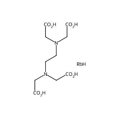 O=C(O)CN(CCN(CC(=O)O)CC(=O)O)CC(=O)O.[RbH]